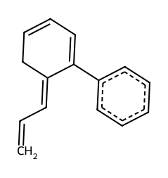 C=CC=C1CC=CC=C1c1ccccc1